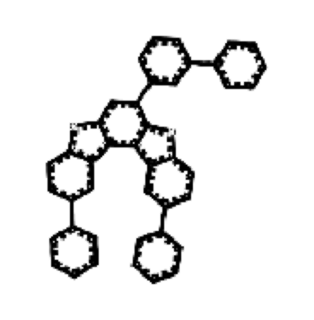 c1ccc(-c2cccc(-c3cc4oc5ccc(-c6ccccc6)cc5c4c4c3oc3ccc(-c5ccccc5)cc34)c2)cc1